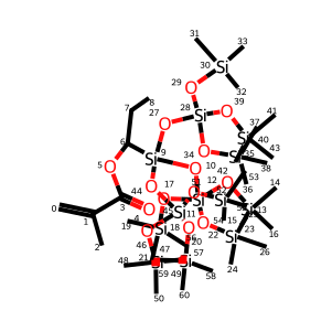 C=C(C)C(=O)OC(CC)[Si](O[Si](O[Si](C)(C)C)(O[Si](C)(C)C)O[Si](C)(C)C)(O[Si](O[Si](C)(C)C)(O[Si](C)(C)C)O[Si](C)(C)C)O[Si](O[Si](C)(C)C)(O[Si](C)(C)C)O[Si](C)(C)C